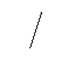 C=CCCCCCCCCCCCCCCCCCCCCl